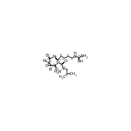 CC(C)C[C@H](N)C(=O)N1C(=O)[C@H]2O[C@@H]2C(=O)N=C1CCCCNC(=N)N